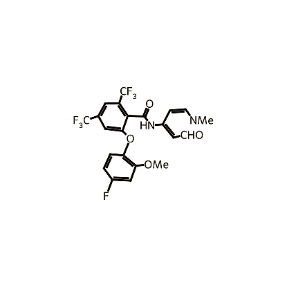 CN/C=C\C(=C/C=O)NC(=O)c1c(Oc2ccc(F)cc2OC)cc(C(F)(F)F)cc1C(F)(F)F